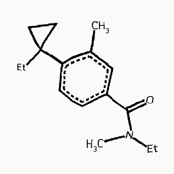 CCN(C)C(=O)c1ccc(C2(CC)CC2)c(C)c1